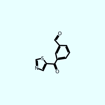 O=Cc1cccc(C(=O)c2cncs2)c1